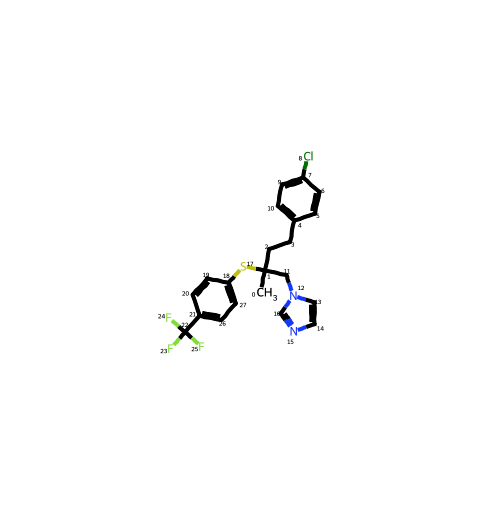 CC(CCc1ccc(Cl)cc1)(Cn1ccnc1)Sc1ccc(C(F)(F)F)cc1